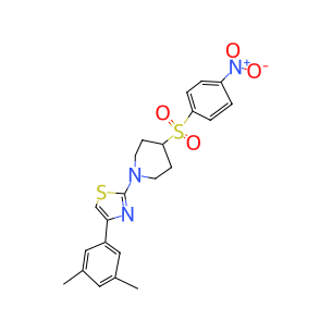 Cc1cc(C)cc(-c2csc(N3CCC(S(=O)(=O)c4ccc([N+](=O)[O-])cc4)CC3)n2)c1